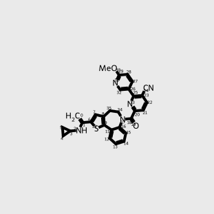 C=C(NC1CC1)c1cc2c(s1)-c1ccccc1N(C(=O)c1ccc(C#N)c(-c3ccc(OC)nc3)n1)CC2